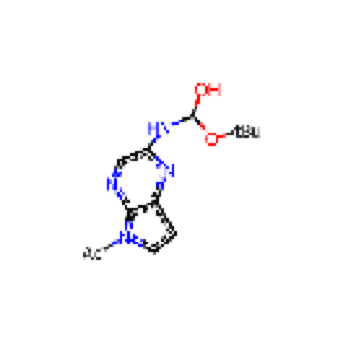 CC(=O)n1ccc2nc(NC(O)OC(C)(C)C)cnc21